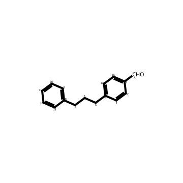 O=Cc1ccc(CCCc2ccccc2)cc1